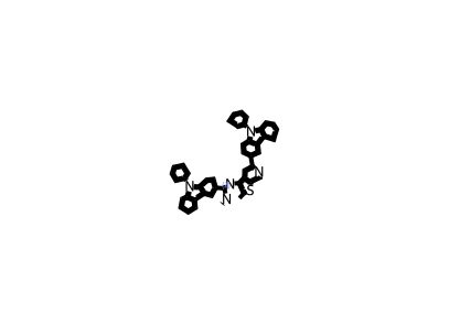 C=N/C(=N\c1c(C)sc2cnc(-c3ccc4c(c3)c3ccccc3n4-c3ccccc3)cc12)c1ccc2c(c1)c1ccccc1n2-c1ccccc1